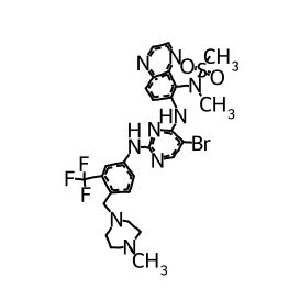 CN1CCN(Cc2ccc(Nc3ncc(Br)c(Nc4ccc5nccnc5c4N(C)S(C)(=O)=O)n3)cc2C(F)(F)F)CC1